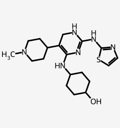 CN1CCC(C2=C(NC3CCC(O)CC3)N=C(Nc3nccs3)NC2)CC1